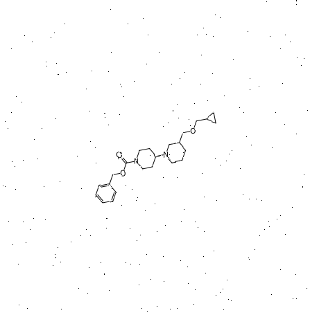 O=C(OCc1ccccc1)N1CCC(N2CCCC(COCC3CC3)C2)CC1